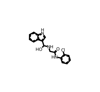 O=C(CNC(O)c1c[nH]c2ccccc12)Nc1ccccc1Cl